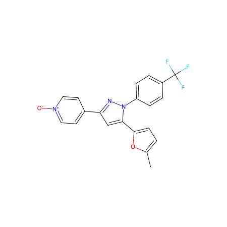 Cc1ccc(-c2cc(-c3cc[n+]([O-])cc3)nn2-c2ccc(C(F)(F)F)cc2)o1